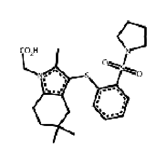 Cc1c(Sc2ccccc2S(=O)(=O)N2CCCC2)c2c(n1CC(=O)O)CCC(C)(C)C2